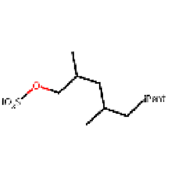 CCCC(C)CC(C)CC(C)COS(=O)(=O)O